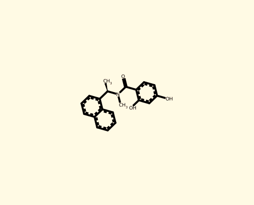 C[C@H](c1cccc2ccccc12)N(C)C(=O)c1ccc(O)cc1O